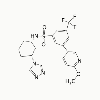 COc1ccc(-c2cc(C(F)(F)F)cc(S(=O)(=O)N[C@H]3CCC[C@@H](n4cnnc4)C3)c2)cn1